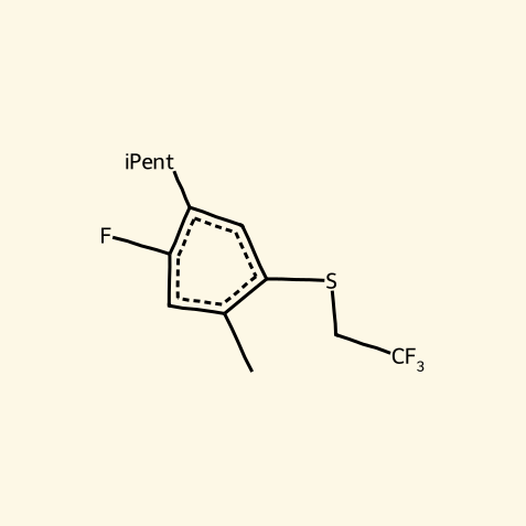 CCCC(C)c1cc(SCC(F)(F)F)c(C)cc1F